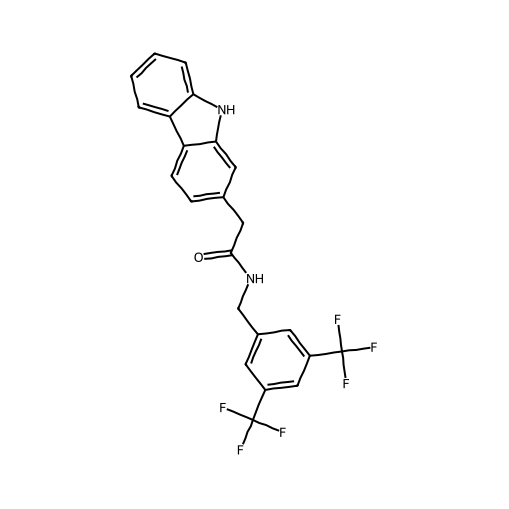 O=C(Cc1ccc2c(c1)[nH]c1ccccc12)NCc1cc(C(F)(F)F)cc(C(F)(F)F)c1